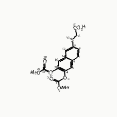 COC(=O)Oc1cc2ccc(SCC(=O)O)cc2cc1OC(=O)OC